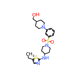 CCc1cnc(NC2CCN(S(=O)(=O)c3cccc(N4CCC(CO)CC4)c3)CC2)s1